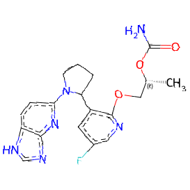 C[C@H](COc1ncc(F)cc1C1CCCN1c1ccc2[nH]cnc2n1)OC(N)=O